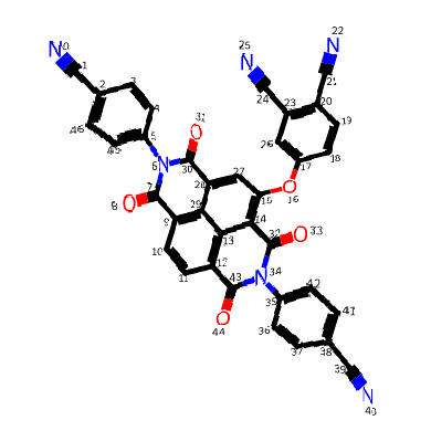 N#Cc1ccc(N2C(=O)c3ccc4c5c(c(Oc6ccc(C#N)c(C#N)c6)cc(c35)C2=O)C(=O)N(c2ccc(C#N)cc2)C4=O)cc1